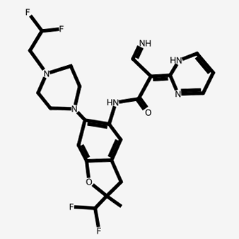 CC1(C(F)F)Cc2cc(NC(=O)/C(C=N)=C3\N=CC=CN3)c(N3CCN(CC(F)F)CC3)cc2O1